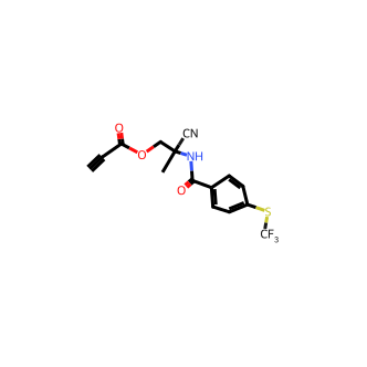 C#CC(=O)OCC(C)(C#N)NC(=O)c1ccc(SC(F)(F)F)cc1